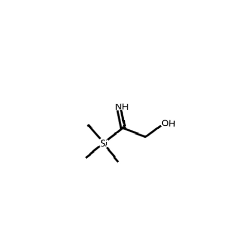 C[Si](C)(C)C(=N)CO